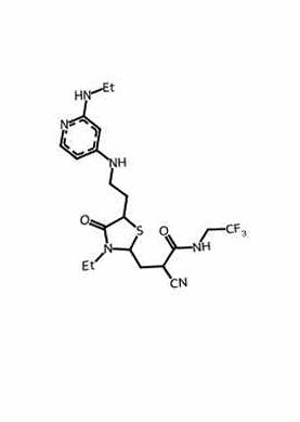 CCNc1cc(NCCC2SC(CC(C#N)C(=O)NCC(F)(F)F)N(CC)C2=O)ccn1